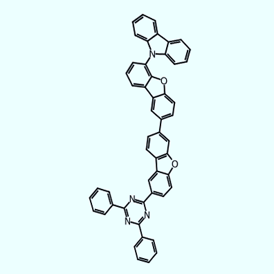 c1ccc(-c2nc(-c3ccccc3)nc(-c3ccc4oc5cc(-c6ccc7oc8c(-n9c%10ccccc%10c%10ccccc%109)cccc8c7c6)ccc5c4c3)n2)cc1